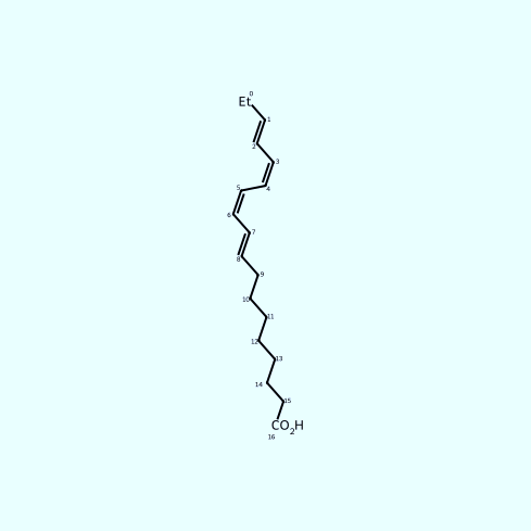 CC/C=C/C=C\C=C/C=C/CCCCCCCC(=O)O